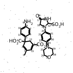 CC1=CC(C(=O)O)(c2ccc(N)cc2)CC(C(=O)O)=C1.O=C1CN(c2ccc(N3CCOCC3)cc2)C(S(=O)(=O)O)N1